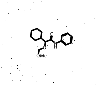 COCOC(C(=O)Nc1ccccc1)C1CCCCC1